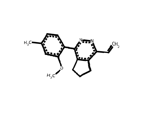 C=Cc1nnc(-c2ccc(C)cc2OC)c2c1CCC2